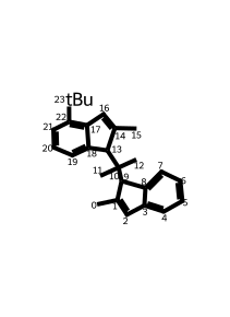 CC1=Cc2ccccc2C1C(C)(C)C1C(C)=Cc2c1cccc2C(C)(C)C